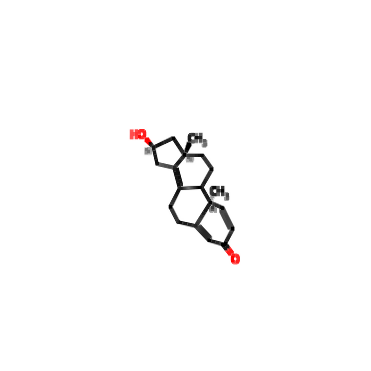 C[C@@]12CCC3C(=C1C[C@@H](O)C2)CCC1=CC(=O)C=C[C@@]13C